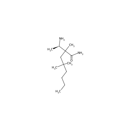 CCCCC(C)(C)CC(C)(C(N)=O)[C@@H](C)N